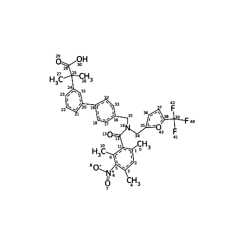 Cc1cc(C)c([N+](=O)[O-])c(C)c1C(=O)N(Cc1ccc(-c2cccc(C(C)(C)C(=O)O)c2)cc1)Cc1ccc(C(F)(F)F)o1